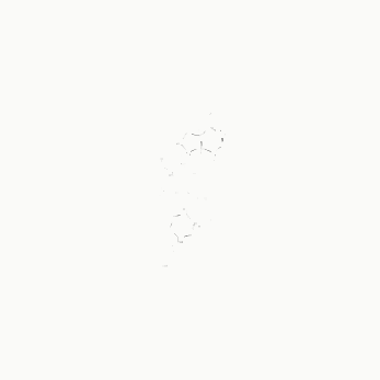 Cc1ncnc2c1ccn2[C@@H]1O[C@H]([C@@H]2OCc3cc(C(F)(F)F)ccc32)[C@@H](O)[C@H]1O